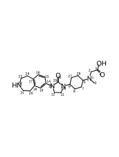 CN(CC(=O)O)C1CCC(N2CCN(c3ccc4c(c3)CCNCC4)C2=O)CC1